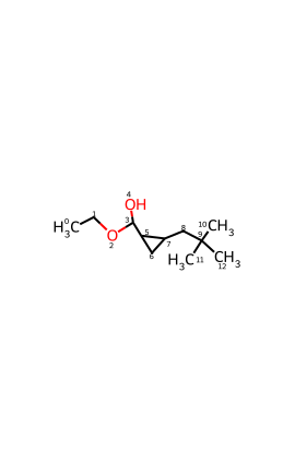 CCOC(O)C1CC1CC(C)(C)C